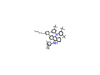 CCCCCCc1cccc(-c2ccc3c(Nc4cc(C)cc([SiH](C)C)c4)c4ccccc4c(N(c4cc(C)cc(C(C)(C)C)c4)c4cc(C(C)(C)C)cc(C(C)(C)C)c4)c3c2)c1